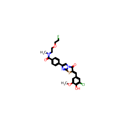 COc1cc(/C=c2\sc3nc(-c4ccc(C(=O)N(C)CCOCCF)cc4)cn3c2=O)cc(Cl)c1O